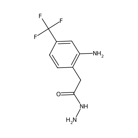 NNC(=O)Cc1ccc(C(F)(F)F)cc1N